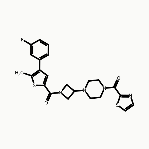 Cc1sc(C(=O)N2CC(N3CCN(C(=O)c4nccs4)CC3)C2)cc1-c1cccc(F)c1